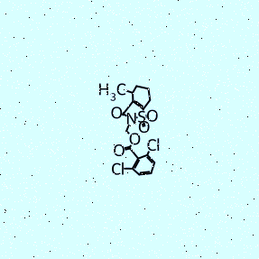 CC1CCCC2=C1C(=O)N(COC(=O)c1c(Cl)cccc1Cl)S2(=O)=O